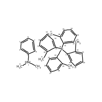 C[NH+](C)c1ccccc1.Cc1ccccc1[B-](c1ccccc1C)(c1ccccc1C)c1ccccc1C